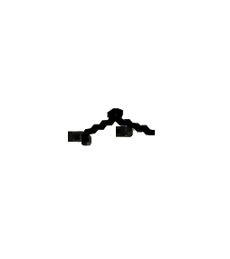 CCCCC[C@H](O)/C=C/C1CCCC1CCCCCCC(=O)O